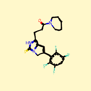 O=C(CCc1[nH]c(=S)n2c1CC(c1c(F)c(F)cc(F)c1F)C2)N1CCCCC1